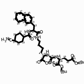 COC(=O)[C@H](CCCCNC(=O)C(Cc1ccc2ccccc2c1)NC(=O)C1CCC(CN)CC1)NC(=O)N[C@@H](CCC(=O)OC(C)(C)C)C(=O)OC(C)(C)C